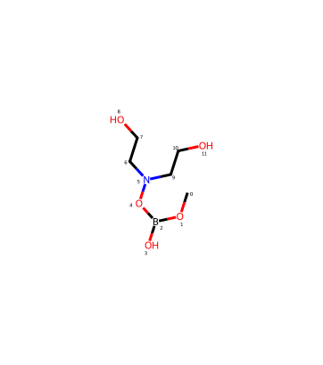 COB(O)ON(CCO)CCO